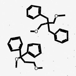 COCC(COC)(Cc1ccccc1)Cc1ccccc1.COCCC(OC)(c1ccccc1)c1ccccc1